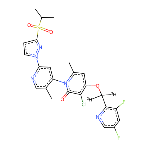 [2H]C([2H])(Oc1cc(C)n(-c2cc(-n3ccc(S(=O)(=O)C(C)C)n3)ncc2C)c(=O)c1Cl)c1ncc(F)cc1F